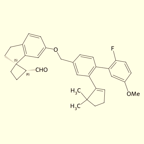 COc1ccc(F)c(-c2ccc(COc3ccc4c(c3)[C@]3(CC4)CC[C@H]3C=O)cc2C2=CCCC2(C)C)c1